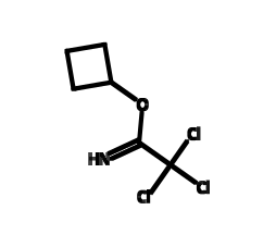 N=C(OC1CCC1)C(Cl)(Cl)Cl